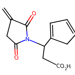 C=C1CC(=O)N(C(CC(=O)O)C2=CC=CC2)C1=O